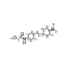 COCC(=O)Nc1ccc(C=Cc2ccc(N(C)C)cc2)cc1